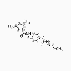 CCCN=NC(=O)CN1CCC(CNC(=O)c2cc(C)cc(C)c2)CC1